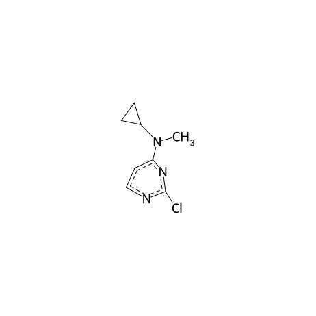 CN(c1ccnc(Cl)n1)C1CC1